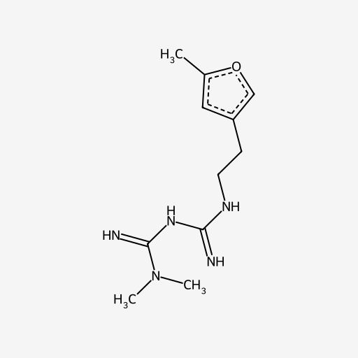 Cc1cc(CCNC(=N)NC(=N)N(C)C)co1